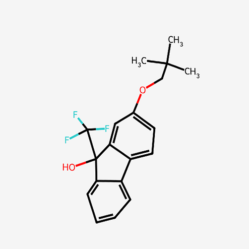 CC(C)(C)COc1ccc2c(c1)C(O)(C(F)(F)F)c1ccccc1-2